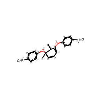 CC1C(Oc2ccc(C=O)cc2)=CC=CC1(C)Oc1ccc(C=O)cc1